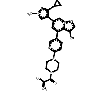 C=C(C)C(=O)N1CCN(c2ccc(-c3cc(-c4cn(C)nc4C4CC4)cn4ncc(C#N)c34)cn2)CC1